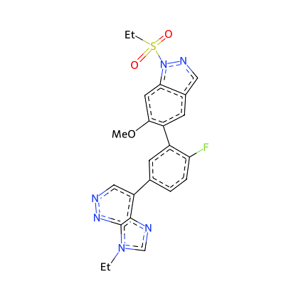 CCn1cnc2c(-c3ccc(F)c(-c4cc5cnn(S(=O)(=O)CC)c5cc4OC)c3)cnnc21